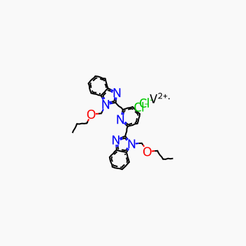 CCCOCn1c(-c2cccc(-c3nc4ccccc4n3COCCC)n2)nc2ccccc21.[Cl-].[Cl-].[V+2]